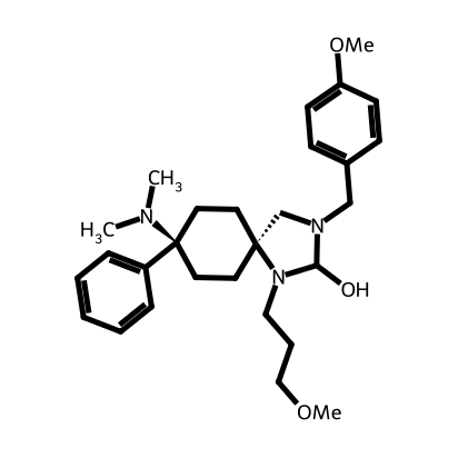 COCCCN1C(O)N(Cc2ccc(OC)cc2)C[C@]12CC[C@](c1ccccc1)(N(C)C)CC2